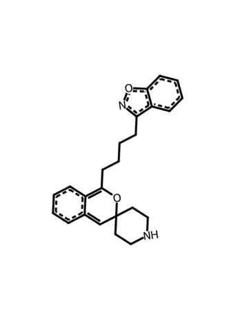 C1=c2ccccc2=C(CCCCc2noc3ccccc23)OC12CCNCC2